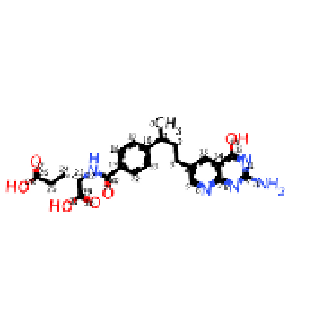 CC(CCc1cnc2nc(N)nc(O)c2c1)c1ccc(C(=O)N[C@@H](CCC(=O)O)C(=O)O)cc1